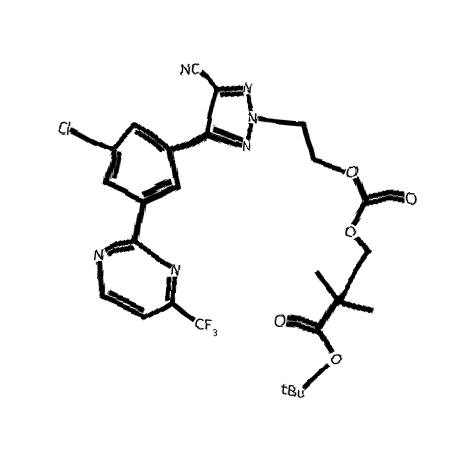 CC(C)(C)OC(=O)C(C)(C)COC(=O)OCCn1nc(C#N)c(-c2cc(Cl)cc(-c3nccc(C(F)(F)F)n3)c2)n1